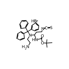 Br.CC(C)(C)OC(=O)NC(CCN=C=S)N(CCN)C(c1ccccc1)(c1ccccc1)c1ccccc1